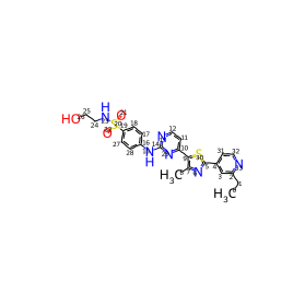 CCc1cc(-c2nc(C)c(-c3ccnc(Nc4ccc(S(=O)(=O)NCCO)cc4)n3)s2)ccn1